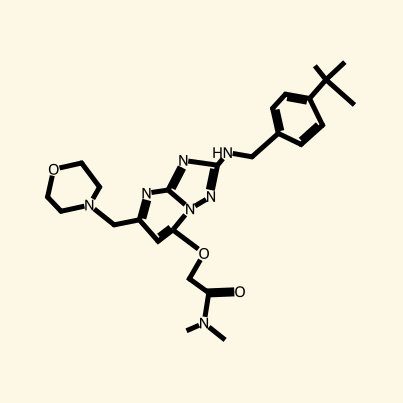 CN(C)C(=O)COc1cc(CN2CCOCC2)nc2nc(NCc3ccc(C(C)(C)C)cc3)nn12